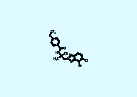 CC(C#N)(Cn1nc2ccc(Cl)c(Br)c2n1)NC(=O)c1ccc(OC(F)(F)F)cc1